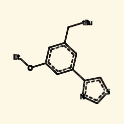 CCOc1cc(CC(C)(C)C)cc(-c2cscn2)c1